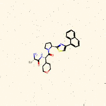 CC[C@H](N)C(=O)N[C@H](C(=O)N1CCC[C@H]1c1nc(-c2cccc3ccccc23)cs1)C1CCOCC1